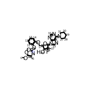 COC(=O)[C@H](C)/N=[P+](\[O-])Oc1ccccc1OC[C@H]1O[C@@H](n2cnc3c(N4CCCCC4)ncnc32)[C@](C)(F)[C@@H]1O